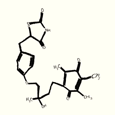 CC1=C(C)C(=O)C(CCC(C)(O)COc2ccc(CC3SC(=O)NC3=O)cc2)=C(C)C1=O